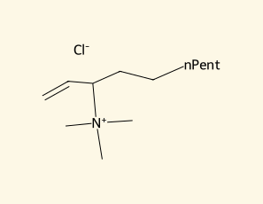 C=CC(CCCCCCC)[N+](C)(C)C.[Cl-]